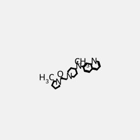 C[C@@H]1CCCN1C(=O)CN1CCC(N(C)c2ccc3cccnc3c2)CC1